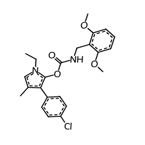 CCn1cc(C)c(-c2ccc(Cl)cc2)c1OC(=O)NCc1c(OC)cccc1OC